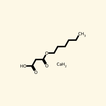 CCCCCCOC(=O)CC(=O)O.[CaH2]